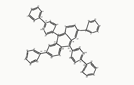 c1ccc(-c2ccc3c(-c4ccc(-c5ccccc5)nc4)c4cc(-c5ccccc5)ccc4c(-c4ccc(-c5ccccc5)nc4)c3c2)cc1